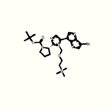 CC(C)(C)OC(=O)N1CCC[C@H]1c1ncc(-c2csc3c(Br)csc23)n1COCC[Si](C)(C)C